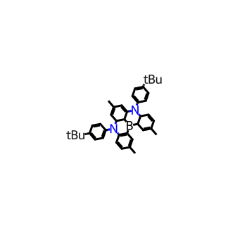 CC1=CC2B3c4cc(C)ccc4N(c4ccc(C(C)(C)C)cc4)C4C=C(C)C=C(C34)N(c3ccc(C(C)(C)C)cc3)C2C=C1